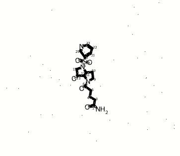 NC(=O)CCCC(=O)N1CCC2C1C(=O)CN2S(=O)(=O)c1cccnc1